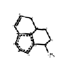 CC1CCC2CC=Cc3cccc1c32